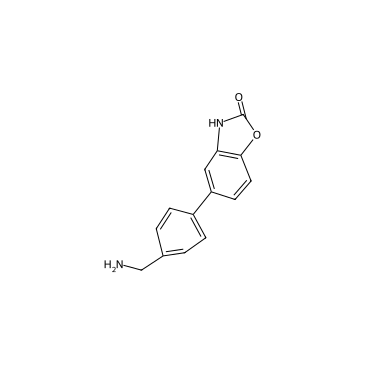 NCc1ccc(-c2ccc3oc(=O)[nH]c3c2)cc1